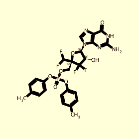 Cc1ccc(OP(=O)(OC[C@@]2(C(F)F)O[C@@H](n3cnc4c(=O)[nH]c(N)nc43)[C@H](O)C2(F)F)Oc2ccc(C)cc2)cc1